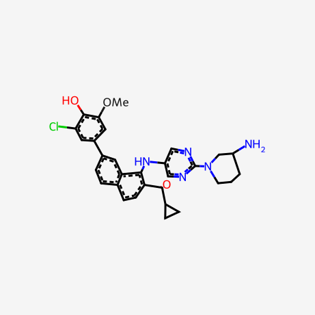 COc1cc(-c2ccc3ccc(C(=O)C4CC4)c(Nc4cnc(N5CCCC(N)C5)nc4)c3c2)cc(Cl)c1O